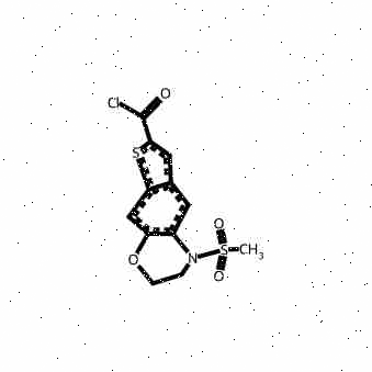 CS(=O)(=O)N1CCOc2cc3sc(C(=O)Cl)cc3cc21